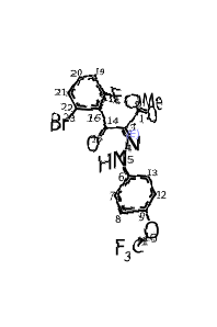 COC(=O)/C(=N/Nc1ccc(OC(F)(F)F)cc1)C(=O)c1c(F)cccc1Br